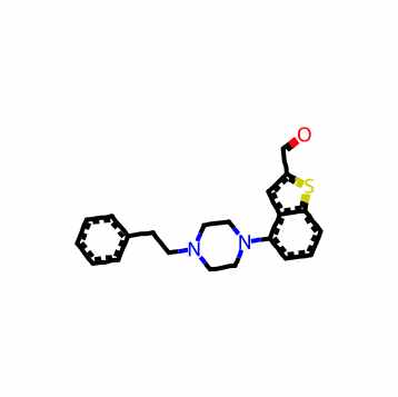 O=Cc1cc2c(N3CCN(CCc4ccccc4)CC3)cccc2s1